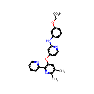 Cc1cc(Oc2ccnc(Nc3cccc(OCC(=O)O)c3)c2)c(-c2ccccn2)nc1C